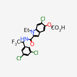 CCn1c(C(=O)NC(c2cc(Cl)cc(Cl)c2)C(F)(F)F)cc2cc(OC(=O)O)c(Cl)cc21